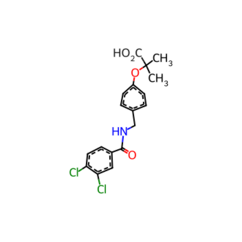 CC(C)(Oc1ccc(CNC(=O)c2ccc(Cl)c(Cl)c2)cc1)C(=O)O